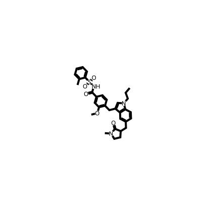 CCCn1cc(Cc2ccc(C(=O)NS(=O)(=O)c3ccccc3C)cc2OC)c2cc(CC3CCN(C)C3=O)ccc21